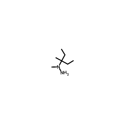 CCC(C)(CC)N(C)N